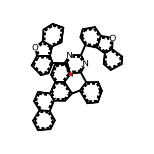 c1ccc(-c2cc3c4ccccc4ccc3c3ccccc23)c(-c2nc(-c3cccc4oc5ccccc5c34)nc(-c3cccc4oc5ccccc5c34)n2)c1